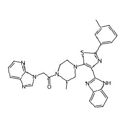 Cc1cccc(-c2nc(-c3nc4ccccc4[nH]3)c(N3CCN(C(=O)Cn4cnc5cccnc54)C(C)C3)s2)c1